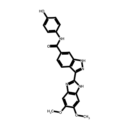 COc1cc2nc(-c3n[nH]c4cc(C(=O)Nc5ccc(O)cc5)ccc34)[nH]c2cc1OC